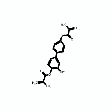 C=C(C)C(=O)Oc1ccc(-c2ccc(OC(=O)C(=C)C)c(CCC)c2)cc1